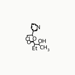 CCC(C(=O)OC(CCl)c1cccnc1)C(C)O